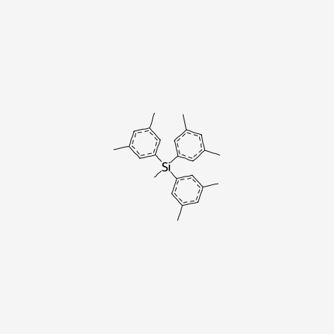 Cc1cc(C)cc([Si](C)(c2cc(C)cc(C)c2)c2cc(C)cc(C)c2)c1